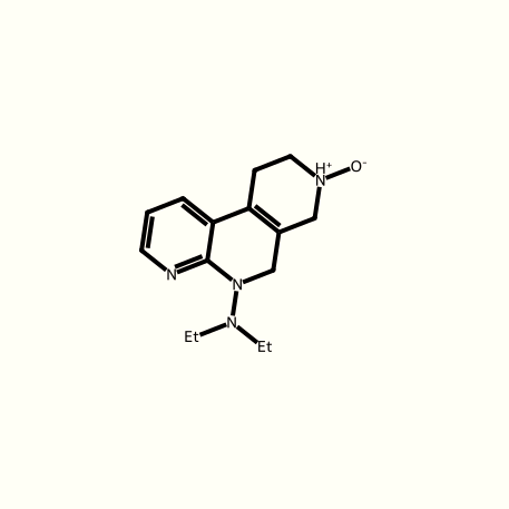 CCN(CC)N1CC2=C(CC[NH+]([O-])C2)c2cccnc21